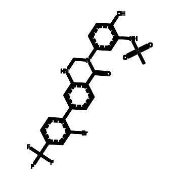 CS(=O)(=O)Nc1cc(N2CNc3cc(-c4ccc(C(F)(F)F)cc4Br)ccc3C2=O)ccc1O